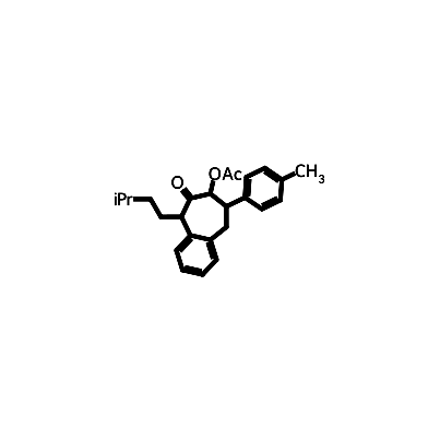 CC(=O)OC1C(=O)C(CCC(C)C)c2ccccc2CC1c1ccc(C)cc1